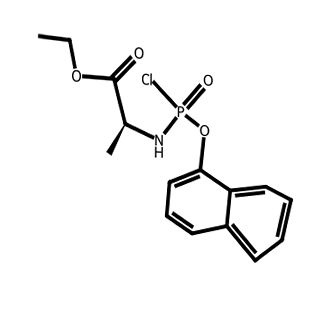 CCOC(=O)[C@H](C)NP(=O)(Cl)Oc1cccc2ccccc12